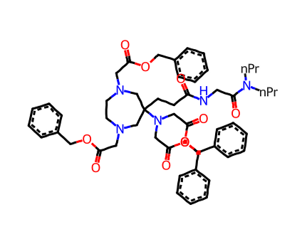 CCCN(CCC)C(=O)CNC(=O)CCC1(N(CC(=O)OCc2ccccc2)CC(=O)OCc2ccccc2)CN(CC(=O)OCc2ccccc2)CCN(CC(=O)OCc2ccccc2)C1